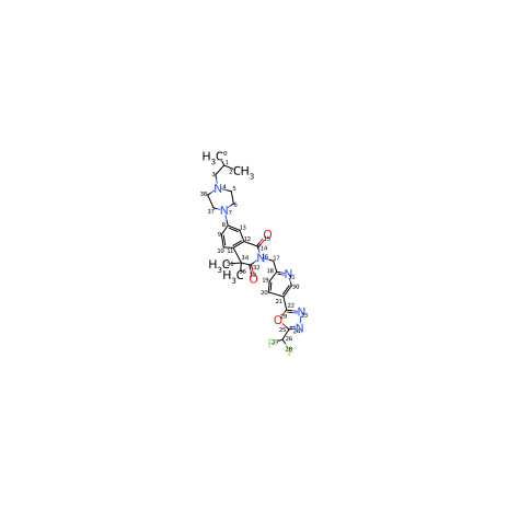 CC(C)CN1CCN(c2ccc3c(c2)C(=O)N(Cc2ccc(-c4nnc(C(F)F)o4)cn2)C(=O)C3(C)C)CC1